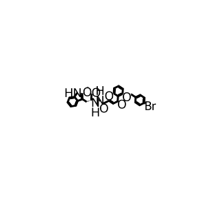 COC(=O)[C@@H](Cc1c[nH]c2ccccc12)NNC(=O)c1cc(=O)c2c(OCc3ccc(Br)cc3)cccc2o1